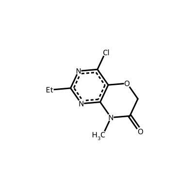 CCc1nc(Cl)c2c(n1)N(C)C(=O)CO2